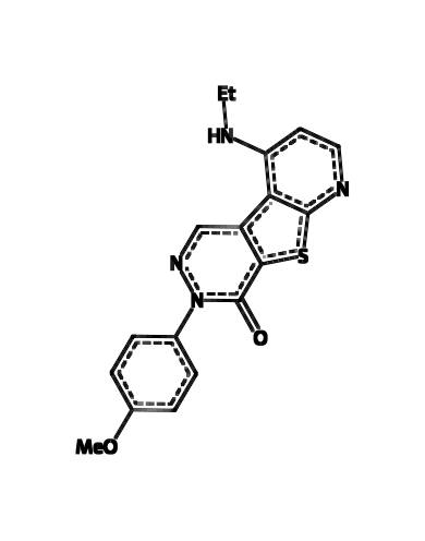 CCNc1ccnc2sc3c(=O)n(-c4ccc(OC)cc4)ncc3c12